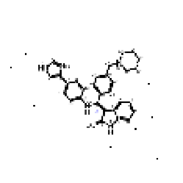 O=C1Nc2ccccc2/C1=C(/Nc1ccc(-c2c[nH]cn2)cc1)c1ccc(CN2CCCCC2)cc1